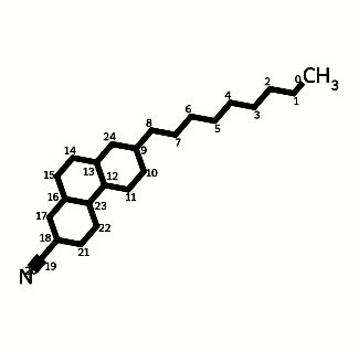 CCCCCCCCCC1CCC2C(CCC3CC(C#N)CCC32)C1